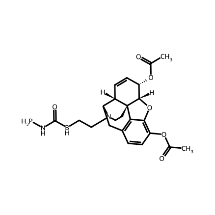 CC(=O)Oc1ccc2c3c1O[C@H]1[C@@H](OC(C)=O)C=C[C@H]4C(C2)N(CCBC(=O)NP)CC[C@@]341